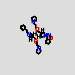 c1ccc(CCN2C[C@@H]3[C@@H](COCCCN4CCCCC4)[C@@H]3C2)cc1.c1ccc2c(N3C[C@@H]4C(COCCCN5CCCCC5)[C@@H]4C3)noc2c1